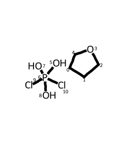 C1CCOC1.OP(O)(O)(Cl)Cl